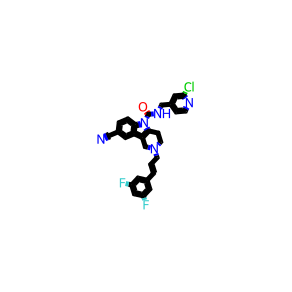 N#Cc1ccc2c(c1)c1c(n2C(=O)NCc2ccnc(Cl)c2)CCN(C/C=C/c2cc(F)cc(F)c2)C1